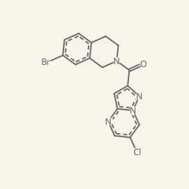 O=C(c1cc2ncc(Cl)cn2n1)N1CCc2ccc(Br)cc2C1